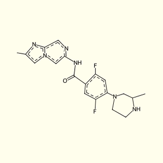 Cc1cn2cc(NC(=O)c3cc(F)c(N4CCNC(C)C4)cc3F)ncc2n1